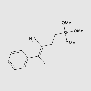 CO[Si](CCC(N)=C(C)c1ccccc1)(OC)OC